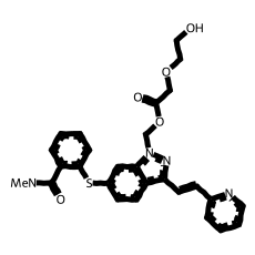 CNC(=O)c1ccccc1Sc1ccc2c(/C=C/c3ccccn3)nn(COC(=O)COCCO)c2c1